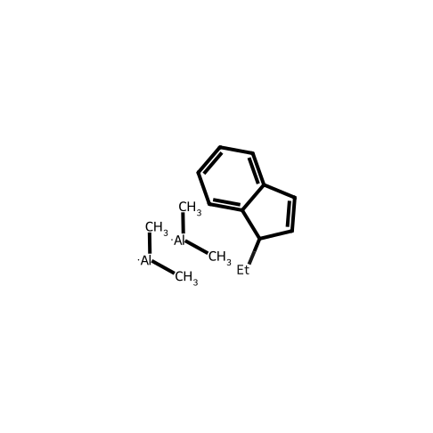 CCC1C=Cc2ccccc21.[CH3][Al][CH3].[CH3][Al][CH3]